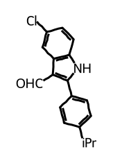 CC(C)c1ccc(-c2[nH]c3ccc(Cl)cc3c2C=O)cc1